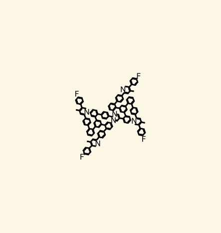 Cc1cc(-c2ccc(-c3ccccc3-c3cc(-c4ccccc4-c4ccc(-c5cc(C)c(-c6ccc(F)cc6)cn5)cc4)cc(-c4ccccc4-c4ccc(-c5ncc(-c6ccccc6-c6cc(-c7ccccc7-c7ccc(-c8cc(C)c(-c9ccc(F)cc9)cn8)cc7)cc(-c7ccccc7-c7ccc(-c8cc(C)c(-c9ccc(F)cc9)cn8)cc7)c6)cn5)cc4)c3)cc2)ncc1-c1ccc(F)cc1